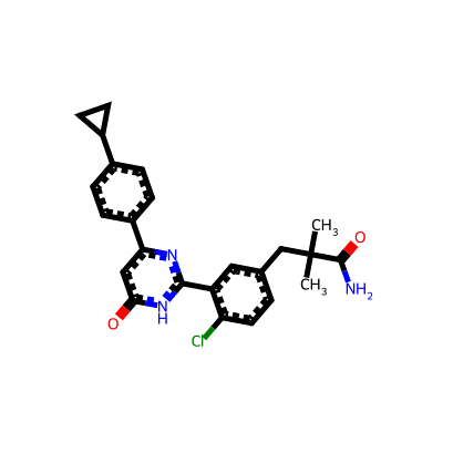 CC(C)(Cc1ccc(Cl)c(-c2nc(-c3ccc(C4CC4)cc3)cc(=O)[nH]2)c1)C(N)=O